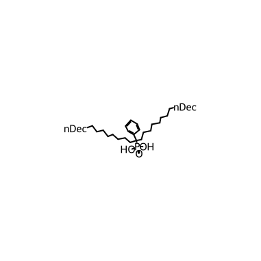 CCCCCCCCCCCCCCCCCCC(CCCCCCCCCCCCCCCCCC)(c1ccccc1)P(=O)(O)O